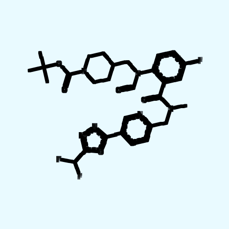 CN(Cc1ccc(-c2nnc(C(F)F)o2)cn1)C(=O)c1cc(F)ccc1N(C=O)CC1CCN(C(=O)OC(C)(C)C)CC1